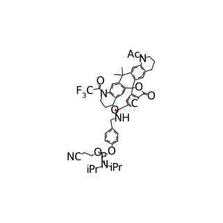 CC(=O)N1CCCc2cc3c(cc21)C(C)(C)c1cc2c(cc1C31OC(=O)c3ccc(C(=O)NCc4ccc(OP(OCCC#N)N(C(C)C)C(C)C)cc4)cc31)CCCN2C(=O)C(F)(F)F